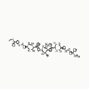 C=CC(=O)OCCOc1ccc(C(=O)Oc2cc(F)c(OC(=O)c3ccc(OCCOC(=O)C=C)cc3)c(F)c2)cc1